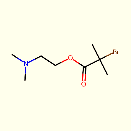 CN(C)CCOC(=O)C(C)(C)Br